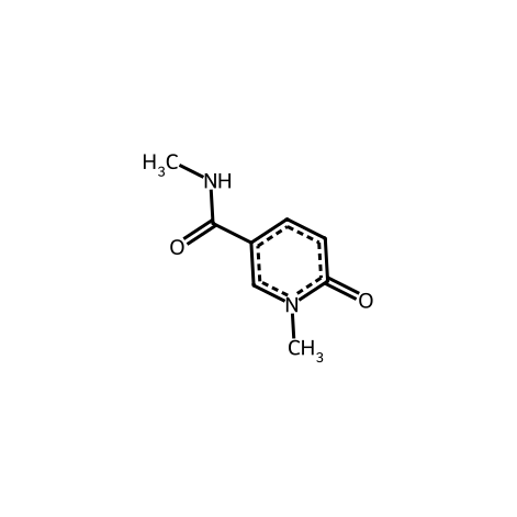 CNC(=O)c1ccc(=O)n(C)c1